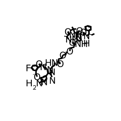 CC[C@@H](NC(=O)[C@@H]1C[C@H](NC(=O)CCOCCOCCC(=O)NCCn2nc(C#N)c3c2CN(C)C(=O)c2ccc(F)cc2[C@@H](C)Oc2cc-3cnc2N)CN1C(=O)[C@@H](NC(=O)[C@H](C)NC)C(C)(C)C)c1ccccc1